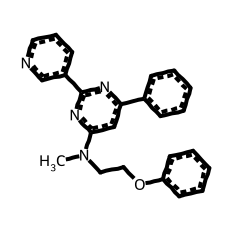 CN(CCOc1ccccc1)c1cc(-c2ccccc2)nc(-c2cccnc2)n1